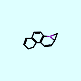 C1=Cc2ccc3c(c2CC1)C=CC1CI31